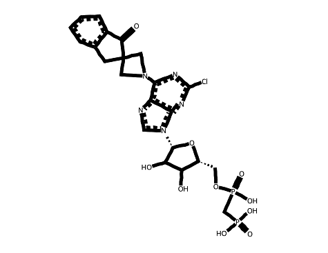 O=C1c2ccccc2CC12CN(c1nc(Cl)nc3c1ncn3[C@@H]1O[C@H](COP(=O)(O)CP(=O)(O)O)C(O)C1O)C2